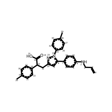 C=CCNc1ccc(-c2cc(CC(C(=O)O)c3ccc(C)cc3)nn2-c2ccc(C)cc2)cc1